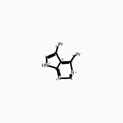 CC(C)c1c[nH]c2ncnc(C(C)C)c12